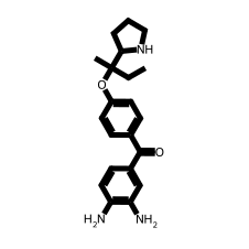 CCC(C)(Oc1ccc(C(=O)c2ccc(N)c(N)c2)cc1)C1CCCN1